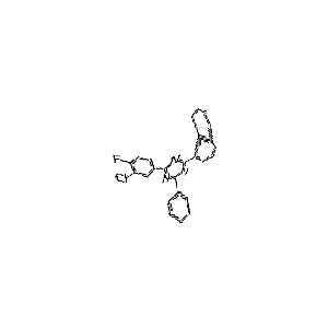 Fc1ccc(-c2nc(-c3ccccc3)nc(-c3ccc4ccccc4c3)n2)cc1Cl